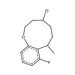 CC1CCC(Cl)CCOc2cccc(F)c21